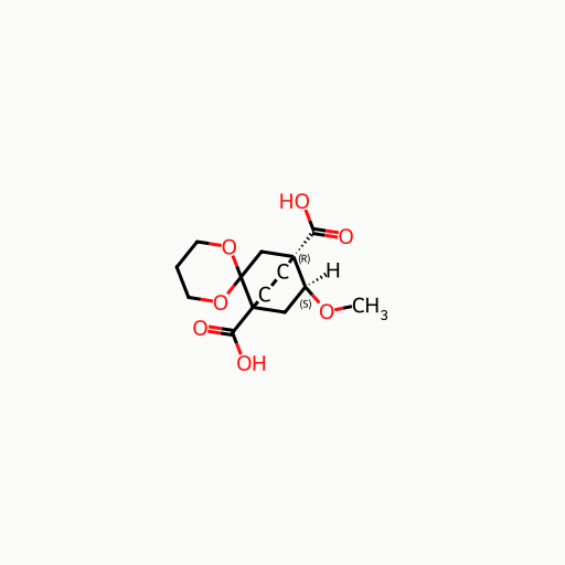 CO[C@H]1CC2(C(=O)O)CC[C@@]1(C(=O)O)CC21OCCCO1